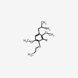 CCCSc1c(OC)cc(CC(C)N)c(OC)c1F